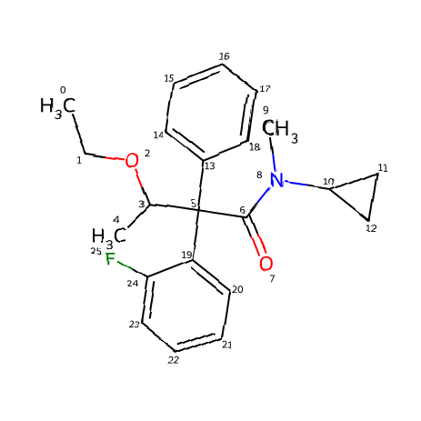 CCOC(C)C(C(=O)N(C)C1CC1)(c1ccccc1)c1ccccc1F